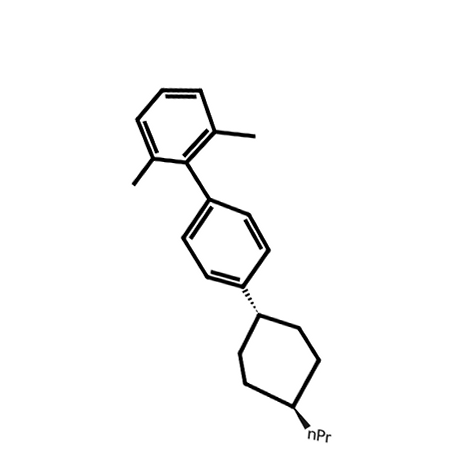 CCC[C@H]1CC[C@H](c2ccc(-c3c(C)cccc3C)cc2)CC1